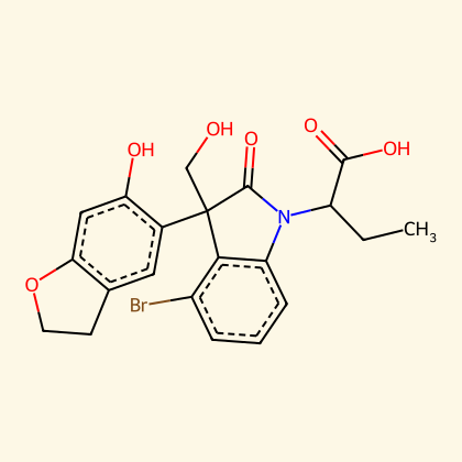 CCC(C(=O)O)N1C(=O)C(CO)(c2cc3c(cc2O)OCC3)c2c(Br)cccc21